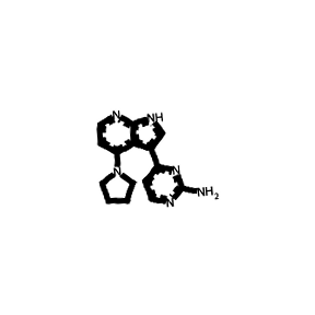 Nc1nccc(-c2c[nH]c3nccc(N4[CH]CCC4)c23)n1